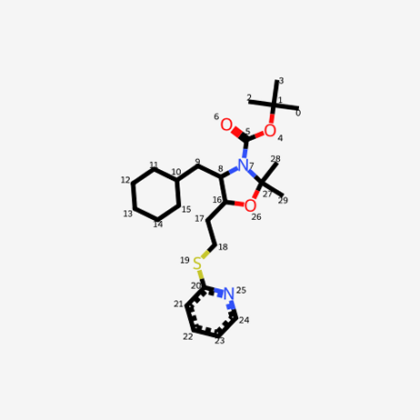 CC(C)(C)OC(=O)N1C(CC2CCCCC2)C(CCSc2ccccn2)OC1(C)C